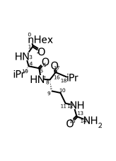 CCCCCCC(=O)N[C@H](C(=O)N[C@@H](CCCNC(N)=O)C(=O)C(C)C)C(C)C